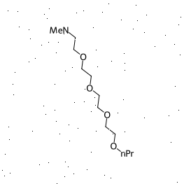 CCCOCCOCCOCCOCCNC